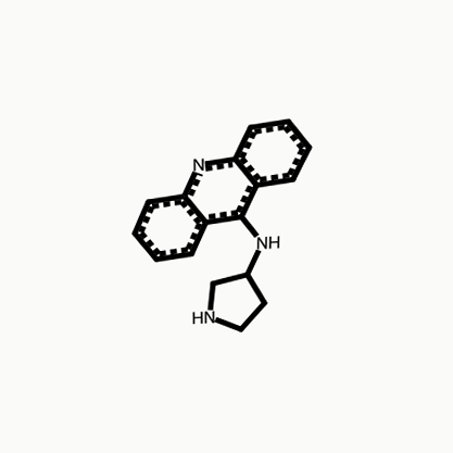 c1ccc2c(NC3CCNC3)c3ccccc3nc2c1